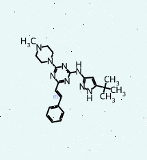 CN1CCN(c2nc(/C=C/c3ccccc3)nc(Nc3cc(C(C)(C)C)[nH]n3)n2)CC1